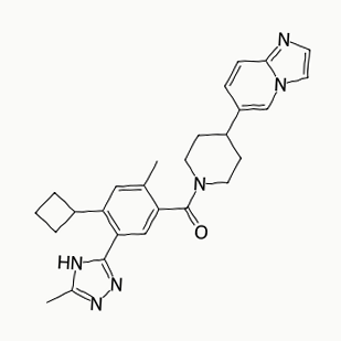 Cc1nnc(-c2cc(C(=O)N3CCC(c4ccc5nccn5c4)CC3)c(C)cc2C2CCC2)[nH]1